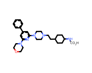 O=C(O)NC1CCC(CCN2CCN(c3cc(-c4ccccc4)cc(N4CCOCC4)n3)CC2)CC1